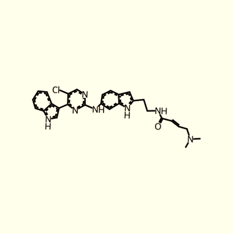 CN(C)CC=CC(=O)NCCc1cc2ccc(Nc3ncc(Cl)c(-c4c[nH]c5ccccc45)n3)cc2[nH]1